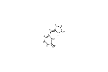 Fc1cccc(C=C2CCCC2)c1